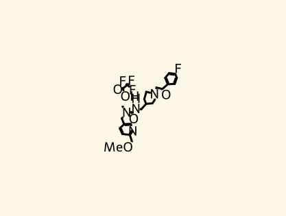 COCc1ccc(CN(C)C(=O)NCC2CCN(CC(=O)c3ccc(F)cc3)CC2)cn1.O=C(O)C(F)(F)F